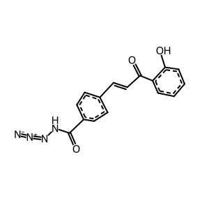 [N-]=[N+]=NNC(=O)c1ccc(C=CC(=O)c2ccccc2O)cc1